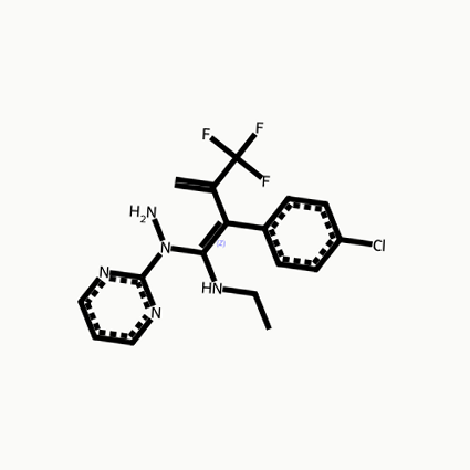 C=C(/C(=C(/NCC)N(N)c1ncccn1)c1ccc(Cl)cc1)C(F)(F)F